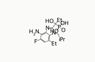 CCc1cc(F)c(N)c2nc(C(O)(CC)P(=O)(O)O)n(CC(C)C)c12